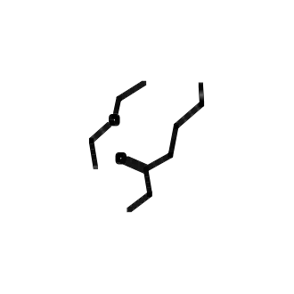 CCCCC(=O)CC.CCOCC